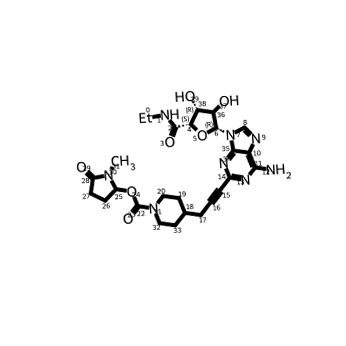 CCNC(=O)[C@H]1O[C@@H](n2cnc3c(N)nc(C#CCC4CCN(C(=O)OC5CCC(=O)N5C)CC4)nc32)C(O)[C@H]1O